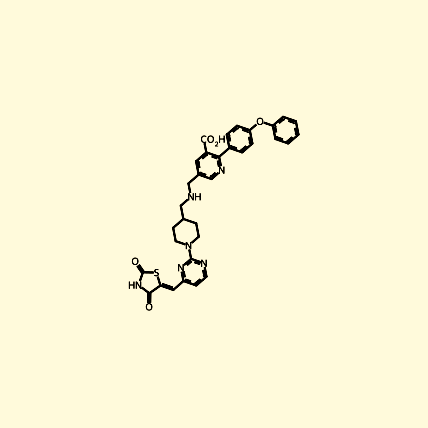 O=C1NC(=O)C(=Cc2ccnc(N3CCC(CNCc4cnc(-c5ccc(Oc6ccccc6)cc5)c(C(=O)O)c4)CC3)n2)S1